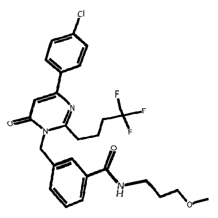 COCCCNC(=O)c1cccc(Cn2c(CCCC(F)(F)F)nc(-c3ccc(Cl)cc3)cc2=O)c1